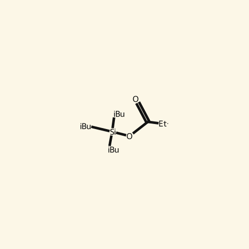 C[CH]C(=O)O[Si](C(C)CC)(C(C)CC)C(C)CC